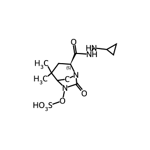 CC1(C)C[C@@H](C(=O)NNC2CC2)N2CC1N(OS(=O)(=O)O)C2=O